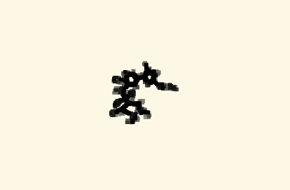 CC(=O)Nc1nc(C)c(-c2cnc(Cl)c(NS(=O)(=O)C3=CN(C)N(C)C3Cl)c2)s1